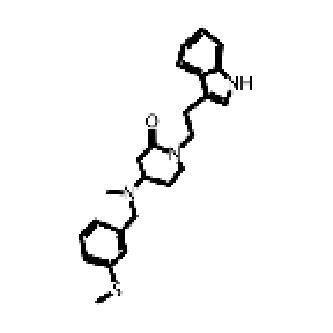 CSc1cccc(CN(C)C2CCN(CCc3c[nH]c4ccccc34)C(=O)C2)c1